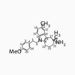 COc1ccc(CCn2c3c(c4cc(C)ccc42)CC(C)(N)CCC3)cc1